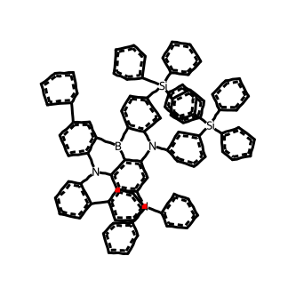 c1ccc(-c2ccc3c(c2)B2c4ccc([Si](c5ccccc5)(c5ccccc5)c5ccccc5)cc4N(c4cccc([Si](c5ccccc5)(c5ccccc5)c5ccccc5)c4)c4cc(N(c5ccccc5)c5ccccc5)cc(c42)N3c2ccccc2-c2ccccc2)cc1